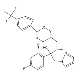 CC(CC1COC(c2ccc(C(F)(F)F)cc2)OC1)C(O)(Cn1cncn1)c1ccc(F)cc1F